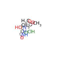 COc1ccc(CCNC(C)C(O)c2cc(Cl)c3c(c2)CCC(=O)N3)cc1OC.Cl